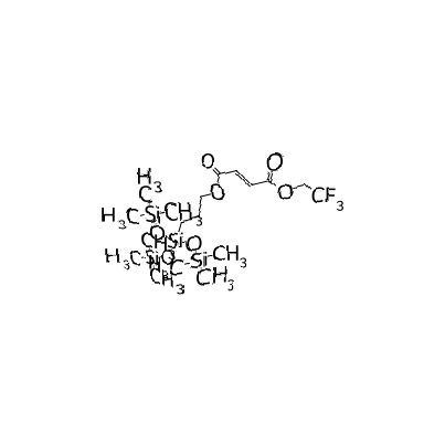 C[Si](C)(C)O[Si](CCCOC(=O)C=CC(=O)OCC(F)(F)F)(O[Si](C)(C)C)O[Si](C)(C)C